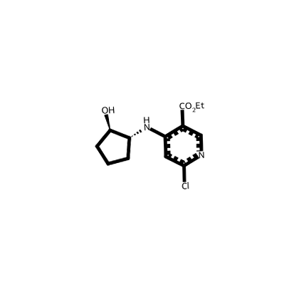 CCOC(=O)c1cnc(Cl)cc1N[C@@H]1CCC[C@H]1O